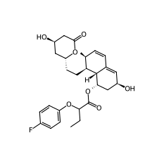 CCC(Oc1ccc(F)cc1)C(=O)O[C@H]1C[C@H](O)C=C2C=C[C@H](C)[C@H](CC[C@@H]3C[C@@H](O)CC(=O)O3)[C@H]21